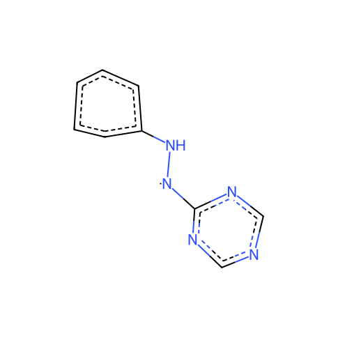 c1ccc(N[N]c2ncncn2)cc1